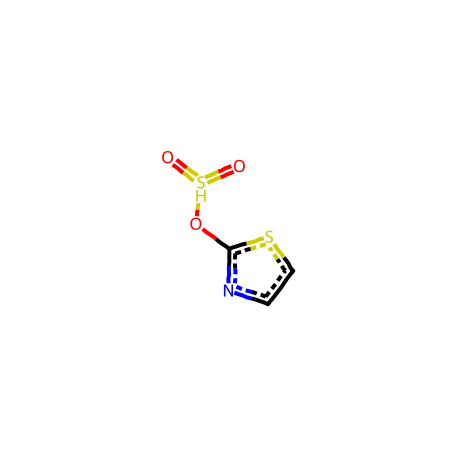 O=[SH](=O)Oc1nccs1